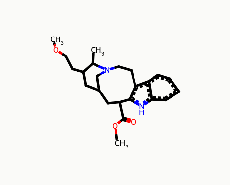 COCCC1CC2CC(C(=O)OC)c3[nH]c4ccccc4c3CCN(C2)C1C